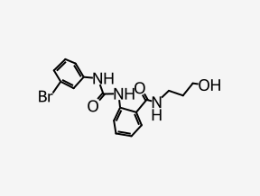 O=C(Nc1cccc(Br)c1)Nc1ccccc1C(=O)NCCCO